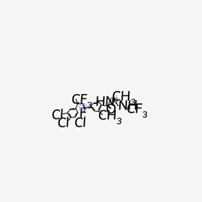 Cc1cc(/C(F)=C/C(c2cc(Cl)c(Cl)c(Cl)c2)C(F)(F)F)ccc1C(=O)N[C@H](C)CNCC(F)(F)F